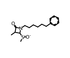 CC1C(=O)N(CCCCCCc2ccccc2)C1[S+](C)[O-]